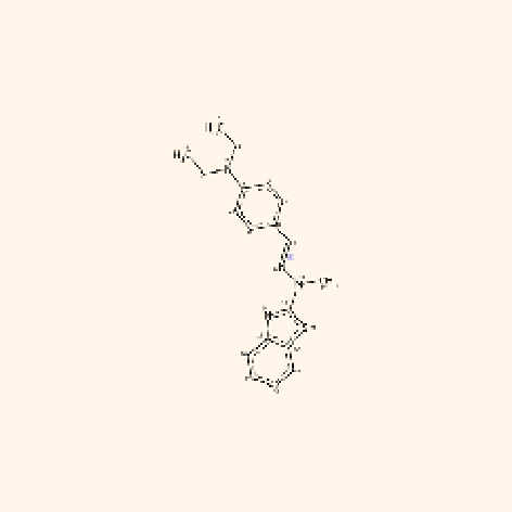 CCN(CC)c1ccc(/C=N/N(C)c2nc3ccccc3s2)cc1